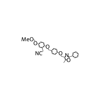 COCOc1ccc(OCc2ccc(OCc3nc(-c4ccccc4)oc3C)cc2)c(CC#N)c1